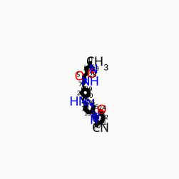 Cc1cc(C(=O)NC[C@H]2CC[C@@H](Nc3ccc(-n4nc(C#N)ccc4=O)cn3)C2)on1